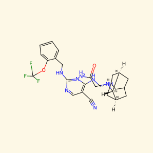 N#Cc1cnc(NCc2ccccc2OC(F)(F)F)nc1NC[C@@]12CC3C[C@H](C1)[C@@H](NCC(N)=O)[C@@H](C3)C2